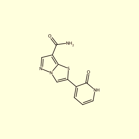 NC(=O)c1cnn2cc(-c3ccc[nH]c3=O)sc12